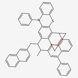 CC(c1cc(-c2ccccc2)c2ccccc2c1)C(Cc1ccc2ccccc2c1)c1cc2c(c3c1C1CC1=C1CC13)Sc1ccccc1N2c1ccccc1